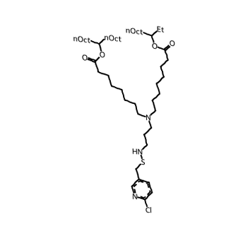 CCCCCCCCC(CC)OC(=O)CCCCCCCN(CCCCCCCC(=O)OC(CCCCCCCC)CCCCCCCC)CCCNSCc1ccc(Cl)nc1